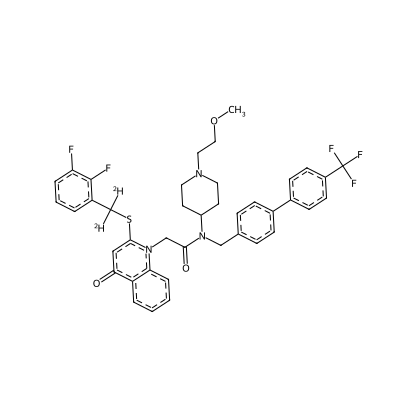 [2H]C([2H])(Sc1cc(=O)c2ccccc2n1CC(=O)N(Cc1ccc(-c2ccc(C(F)(F)F)cc2)cc1)C1CCN(CCOC)CC1)c1cccc(F)c1F